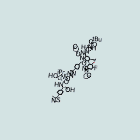 Cc1ncsc1-c1ccc([C@H](CO)NC(=O)[C@@H]2C[C@@H](O)CN2C(=O)[C@H](C(C)C)n2cc(-c3ccc(COc4c(-c5c(C)c(F)cc6c5cnn6C5CCCCO5)c(C5CC5)cc5c(N6C[C@@H]7C[C@H]6CN7C(=O)OC(C)(C)C)nc(OC6CCOCC6)nc45)cc3)nn2)cc1